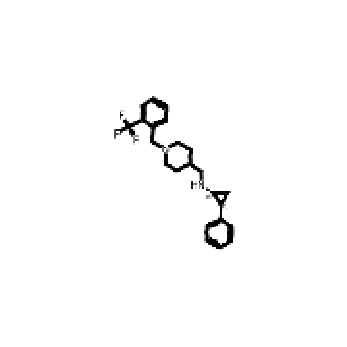 FC(F)(F)c1ccccc1CN1CCC(CN[C@@H]2C[C@H]2c2ccccc2)CC1